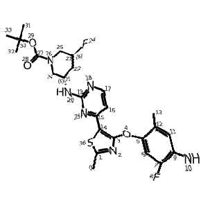 Cc1nc(Oc2cc(F)c(N)cc2C)c(-c2ccnc(N[C@H]3C[C@H](F)CN(C(=O)OC(C)(C)C)C3)n2)s1